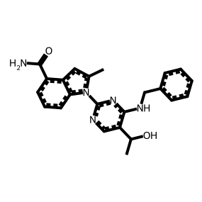 Cc1cc2c(C(N)=O)cccc2n1-c1ncc(C(C)O)c(NCc2ccccc2)n1